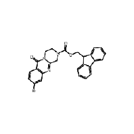 O=C(OCC1c2ccccc2-c2ccccc21)N1CCn2c(nc3cc(Br)ccc3c2=O)C1